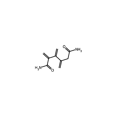 C=C(CC(N)=O)C(=C)C(=C)C(N)=O